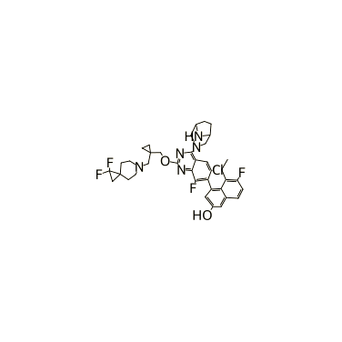 CCc1c(F)ccc2cc(O)cc(-c3c(Cl)cc4c(N5CC6CCC(C5)N6)nc(OCC5(CN6CCC7(CC6)CC7(F)F)CC5)nc4c3F)c12